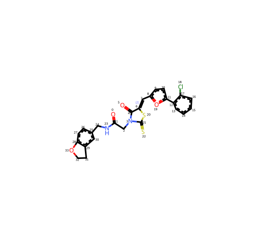 O=C(CN1C(=O)/C(=C/c2ccc(-c3ccccc3Cl)o2)SC1=S)NCc1ccc2c(c1)CCO2